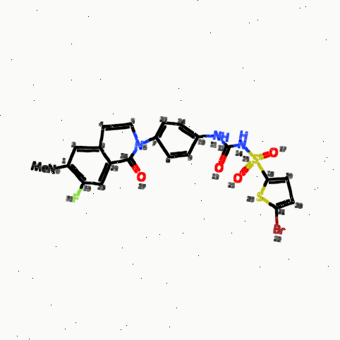 CNc1cc2ccn(-c3ccc(NC(=O)NS(=O)(=O)c4ccc(Br)s4)cc3)c(=O)c2cc1F